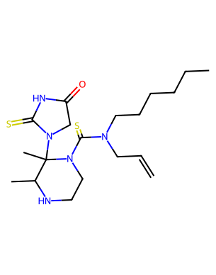 C=CCN(CCCCCC)C(=S)N1CCNC(C)C1(C)N1CC(=O)NC1=S